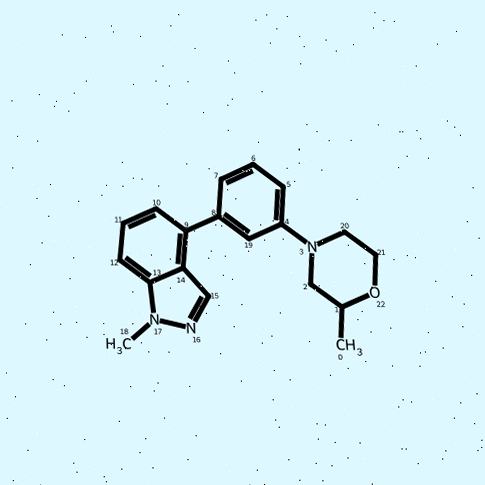 CC1CN(c2cccc(-c3cccc4c3cnn4C)c2)CCO1